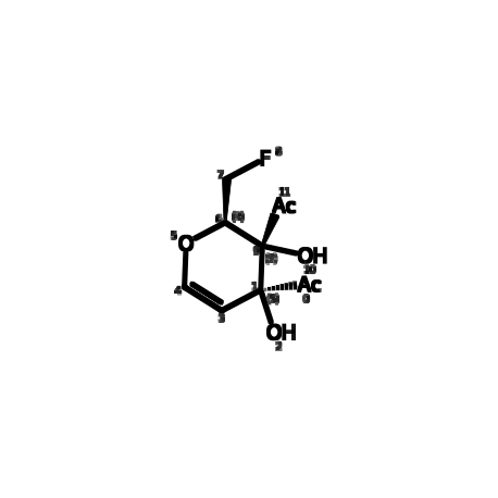 CC(=O)[C@]1(O)C=CO[C@@H](CF)[C@@]1(O)C(C)=O